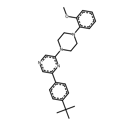 COc1ccccc1N1CCN(c2cncc(-c3ccc(C(C)(C)C)cc3)n2)CC1